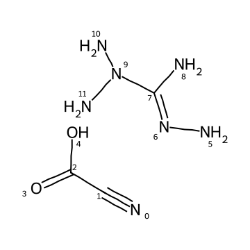 N#CC(=O)O.N/N=C(\N)N(N)N